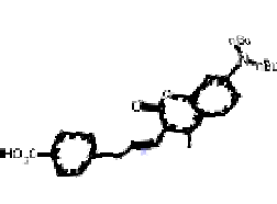 CCCCN(CCCC)c1ccc2c(C)c(/C=C/Cc3ccc(C(=O)O)cc3)c(=O)oc2c1